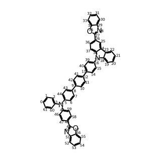 c1ccc(N(c2ccc(-c3ccc(-c4ccc(-n5c6ccccc6c6cc(-c7nc8ccccc8o7)ccc65)cc4)cc3)cc2)c2ccc(-c3nc4ccccc4o3)cc2)cc1